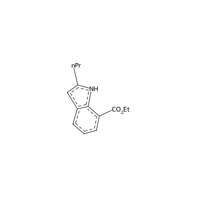 CCCc1cc2cccc(C(=O)OCC)c2[nH]1